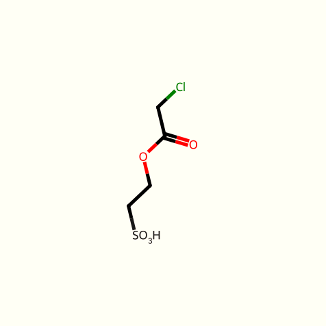 O=C(CCl)OCCS(=O)(=O)O